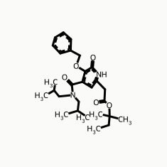 CCC(C)(C)OC(=O)Cc1cc(C(=O)N(CC(C)C)CC(C)C)c(OCc2ccccc2)c(=O)[nH]1